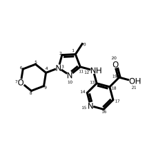 Cc1cn(C2CCOCC2)nc1Nc1cnccc1C(=O)O